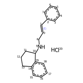 C(=C\c1ccccc1)/CNC1CCCc2ccccc21.Cl